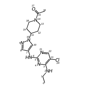 CCNc1nc(Nc2cnn(C3CCN(C(C)=O)CC3)c2)ncc1Cl